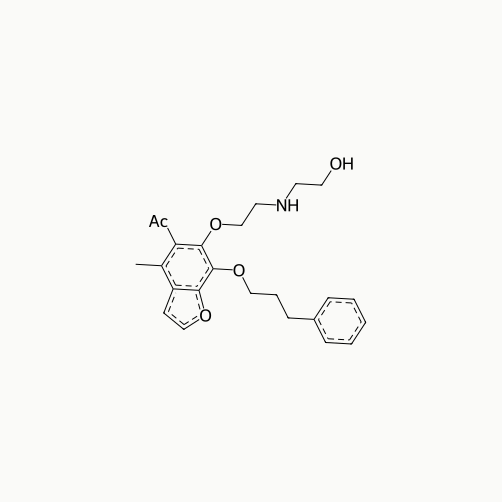 CC(=O)c1c(OCCNCCO)c(OCCCc2ccccc2)c2occc2c1C